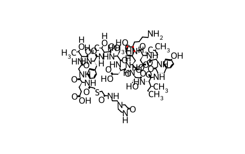 CC[C@H](C)[C@H](NC(=O)[C@H](CO)NC(=O)[C@H](Cc1ccc(O)cc1)NC(=O)[C@H](CC(=O)O)NC(=O)[C@H](CO)NC(=O)[C@@H](NC(=O)[C@H](Cc1ccccc1)NC(=O)[C@@H](NC(=O)CNC(=O)[C@H](CCC(=O)O)NC(=O)CSCC(=O)NCCN1CCNC(=O)C1)[C@@H](C)O)[C@@H](C)O)C(=O)N[C@@H](Cc1ccc(O)cc1)C(=O)N[C@@H](CC(C)C)C(=O)N[C@@H](CC(=O)O)C(=O)N[C@H](C)CCCCN